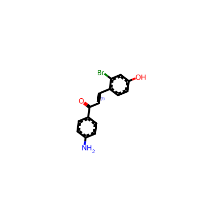 Nc1ccc(C(=O)/C=C/c2ccc(O)cc2Br)cc1